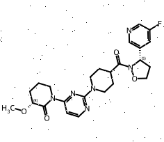 CO[C@@H]1CCCN(c2ccnc(N3CCC(C(=O)N4OCC[C@H]4c4cncc(F)c4)CC3)n2)C1=O